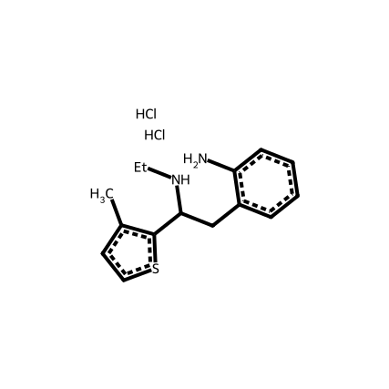 CCNC(Cc1ccccc1N)c1sccc1C.Cl.Cl